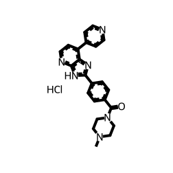 CN1CCN(C(=O)c2ccc(-c3nc4c(-c5ccncc5)ccnc4[nH]3)cc2)CC1.Cl